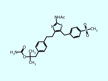 CC(=O)Nc1nc(CCc2ccc(CC(C)(C)OC(N)=O)cc2)c(Cc2ccc(S(C)(=O)=O)cc2)s1